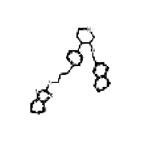 c1ccc2cc(COC3CNCCC3c3ccc(CCCSc4nc5ccccc5s4)cc3)ccc2c1